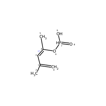 C=C(C)/C=C(/C)O[PH](=O)O